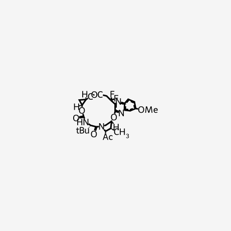 COc1ccc2nc3c(nc2c1)O[C@H]1CN(C(=O)[C@H](C(C)(C)C)NC(=O)O[C@@H]2C[C@H]2COCCC3(F)F)[C@H](C(C)=O)[C@@H]1C